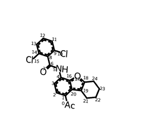 CC(=O)c1ccc(NC(=O)c2c(Cl)cccc2Cl)c2oc3c(c12)CCCC3